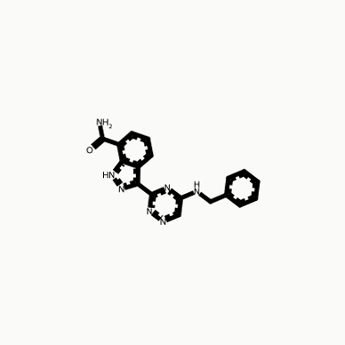 NC(=O)c1cccc2c(-c3nncc(NCc4ccccc4)n3)n[nH]c12